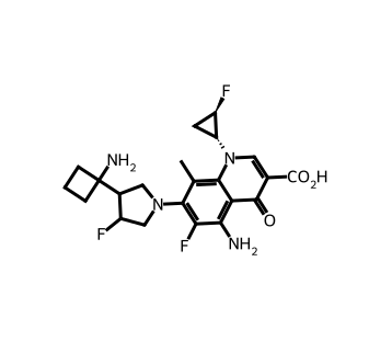 Cc1c(N2CC(F)C(C3(N)CCC3)C2)c(F)c(N)c2c(=O)c(C(=O)O)cn([C@@H]3C[C@H]3F)c12